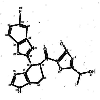 CC(O)c1nc(Cl)c(C(=O)N2CCc3[nH]cnc3[C@H]2c2nc3cc(F)ccc3o2)o1